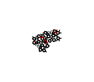 Cc1ccc(C)c(N(c2cccc(Cc3cc(N(c4cc(C)c(C)c(C)c4)c4cc5c(c6oc7ccccc7c46)-c4c(cc(N(c6cc(C)c(C)c(C)c6)c6cc(C)c(C)c(C)c6)c6c4oc4ccccc46)C5(c4ccccc4)c4ccccc4)cc(C)c3C)c2)c2cc3c(c4oc5ccccc5c24)-c2c(cc(N(c4ccccc4C)c4cc(C)ccc4C)c4c2oc2ccccc24)C3(c2ccccc2)c2ccccc2)c1